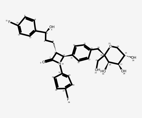 O=C1[C@H](CC[C@H](O)c2ccc(F)cc2)[C@@H](c2ccc(C[C@@]3(CO)OC[C@H](O)[C@@H](O)[C@H]3O)cc2)N1c1ccc(F)cc1